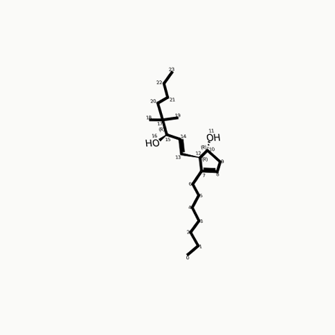 CCCCCCCC1=CC[C@@H](O)[C@@H]1C=C[C@@H](O)C(C)(C)CCCC